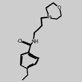 CCc1ccc(C(=O)NCCCN2CCOCC2)cc1